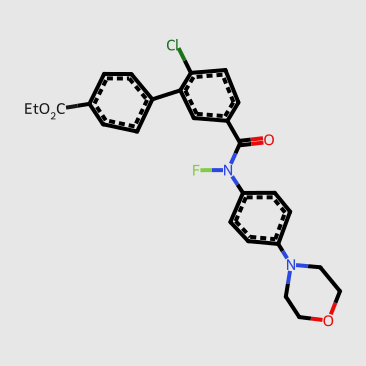 CCOC(=O)c1ccc(-c2cc(C(=O)N(F)c3ccc(N4CCOCC4)cc3)ccc2Cl)cc1